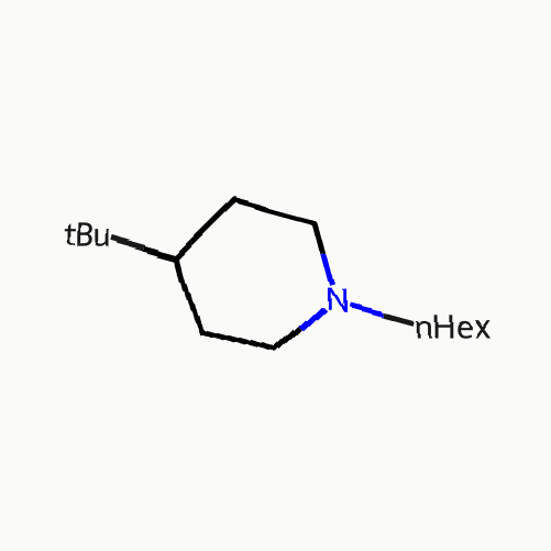 CCCCCCN1CCC(C(C)(C)C)CC1